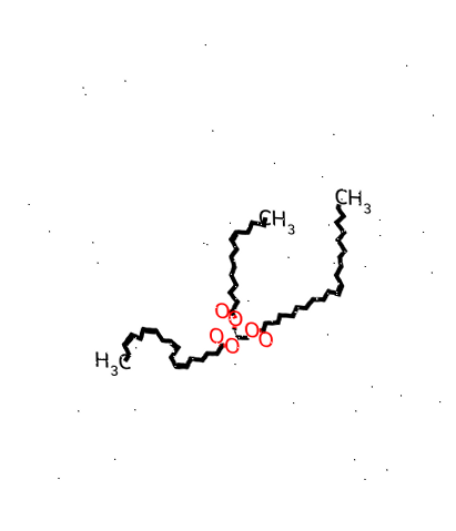 CC/C=C\C/C=C\C/C=C\C/C=C\CCCCC(=O)O[C@H](COC(=O)CCCCCCC/C=C\CCCC)COC(=O)CCCCCCCCC/C=C\CCCCCCCCCC